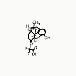 CN1CC[C@]23c4c5ccc(O)c4O[C@H]2C(=O)CC[C@H]3[C@H]1C5.O=C(O)C(F)(F)F